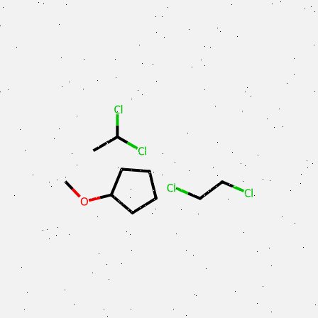 CC(Cl)Cl.COC1CCCC1.ClCCCl